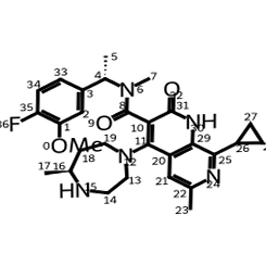 COc1cc([C@H](C)N(C)C(=O)c2c(N3CCN[C@@H](C)CC3)c3cc(C)nc(C4CC4)c3[nH]c2=O)ccc1F